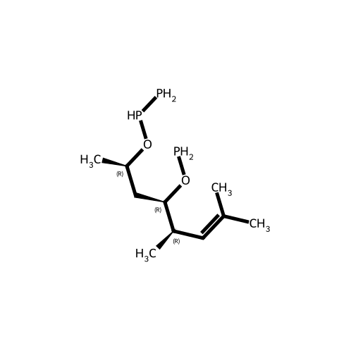 CC(C)=C[C@@H](C)[C@@H](C[C@@H](C)OPP)OP